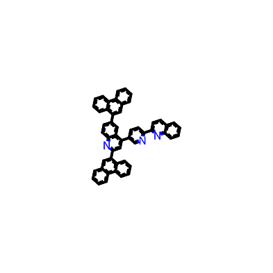 c1ccc2nc(-c3ccc(-c4cc(-c5cc6ccccc6c6ccccc56)nc5ccc(-c6cc7ccccc7c7ccccc67)cc45)cn3)ccc2c1